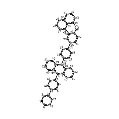 c1ccc(-c2ccc(-c3c4ccccc4c(-c4ccc(-c5ccc6c(c5)-c5cccc7cccc(c57)O6)cc4)c4ccccc34)cc2)cc1